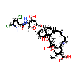 CC[C@H]1C[C@]23OC(=O)C(=C(O)[C@@]4(CC)[C@@H]5CC[C@H](C)[C@H](O[C@H]6C[C@@H](O)[C@H](NC(=O)c7[nH]c(Cl)cc7Cl)[C@@H](C)O6)[C@H]5C=C[C@H]4C/C=C/C/C=C/[C@@]2(C)C=C1C(=O)O)C3=O